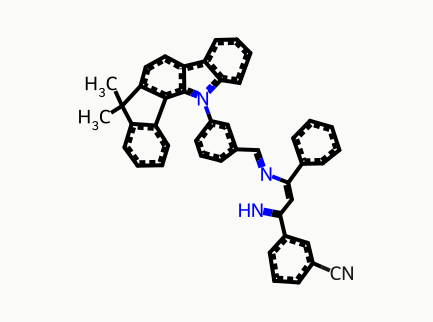 CC1(C)c2ccccc2-c2c1ccc1c3ccccc3n(-c3cccc(/C=N/C(=C\C(=N)c4cccc(C#N)c4)c4ccccc4)c3)c21